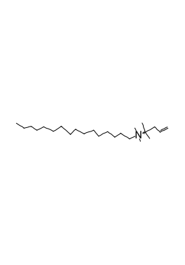 C=CCC(C)(C)[N+](C)(C)CCCCCCCCCCCCCCCC